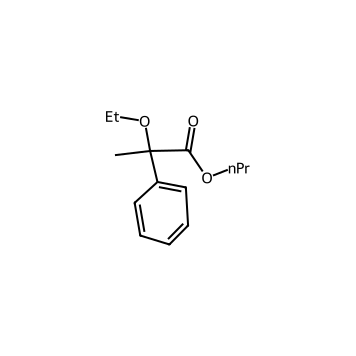 CCCOC(=O)C(C)(OCC)c1ccccc1